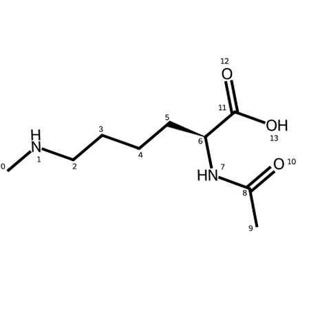 CNCCCC[C@H](NC(C)=O)C(=O)O